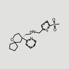 CS(=O)(=O)c1ccc(CNCC[C@@]2(c3ccccn3)CCOC3(CCCC3)C2)s1